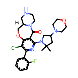 CC1(C)CC(N2CCOCC2)CN1c1nc(-c2ccccc2F)c(Cl)c2c1C(=O)N1CCNC[C@@H]1CO2